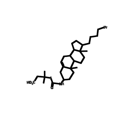 CC(C)CCCCC1CCC2C3CC=C4CC(NC(=O)SC(C)(C)CC(=O)O)CCC4(C)C3CCC12C